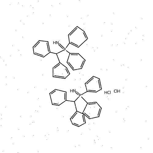 Cl.Cl.N=P(c1ccccc1)(c1ccccc1)C(c1ccccc1)c1ccccc1.N=P(c1ccccc1)(c1ccccc1)C(c1ccccc1)c1ccccc1